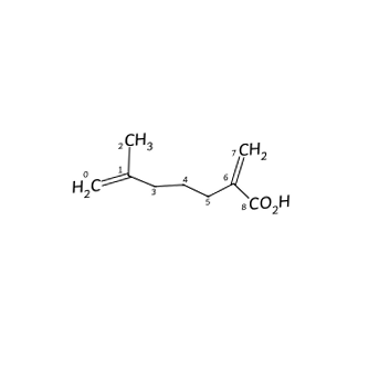 C=C(C)CCCC(=C)C(=O)O